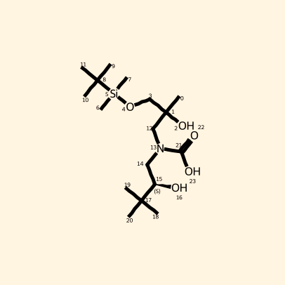 CC(O)(CO[Si](C)(C)C(C)(C)C)CN(C[C@@H](O)C(C)(C)C)C(=O)O